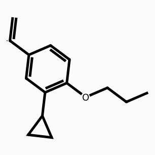 C=[C]c1ccc(OCCC)c(C2CC2)c1